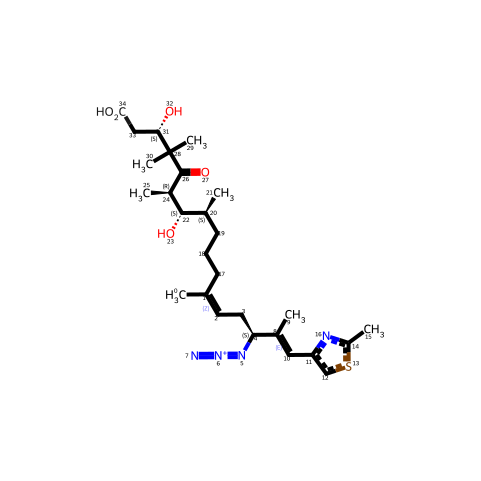 C/C(=C/C[C@H](N=[N+]=[N-])/C(C)=C/c1csc(C)n1)CCC[C@H](C)[C@H](O)[C@@H](C)C(=O)C(C)(C)[C@@H](O)CC(=O)O